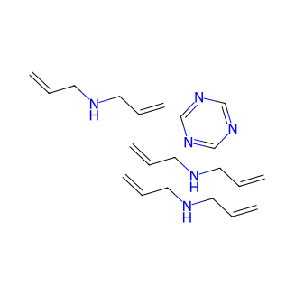 C=CCNCC=C.C=CCNCC=C.C=CCNCC=C.c1ncncn1